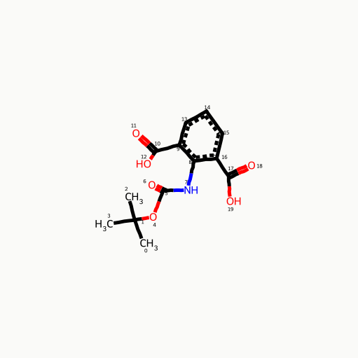 CC(C)(C)OC(=O)Nc1c(C(=O)O)cccc1C(=O)O